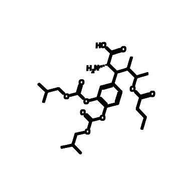 CCCC(=O)OC(C)C(C)C(c1ccc(OC(=O)OCC(C)C)c(OC(=O)OCC(C)C)c1)[C@H](N)C(=O)O